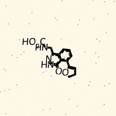 O=C(O)NCc1n[nH]c(=O)c2c(C3=CCCO3)cccc12